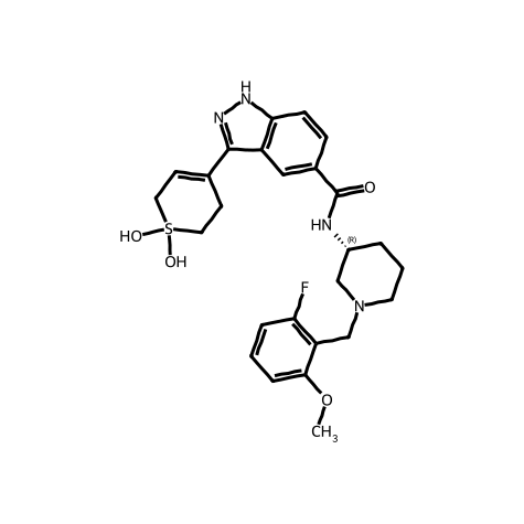 COc1cccc(F)c1CN1CCC[C@@H](NC(=O)c2ccc3[nH]nc(C4=CCS(O)(O)CC4)c3c2)C1